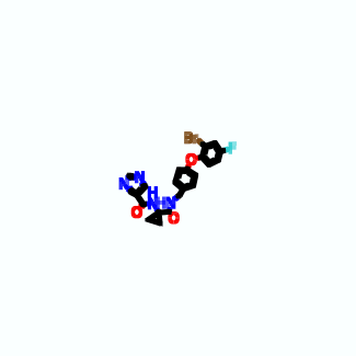 O=C(NC1(C(=O)NCc2ccc(Oc3ccc(F)cc3Br)cc2)CC1)c1cncnc1